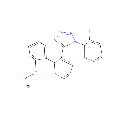 N#CCOc1ccccc1-c1ccccc1-c1nnnn1-c1ccccc1F